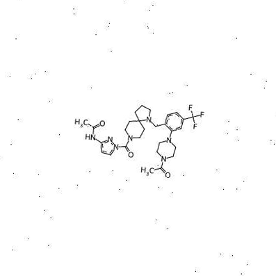 CC(=O)Nc1ccn(C(=O)N2CCC3(CCCN3Cc3ccc(C(F)(F)F)cc3N3CCN(C(C)=O)CC3)CC2)n1